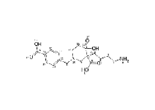 NCCCCC1(C(=O)O)CN(Cc2ccc(C(=O)O)cc2)CCP1(=O)O